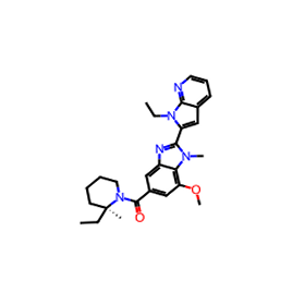 CCn1c(-c2nc3cc(C(=O)N4CCCC[C@]4(C)CC)cc(OC)c3n2C)cc2cccnc21